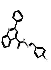 O=C(N/N=C/c1ccc(O)cc1)c1cc(-c2ccccc2)nc2ccccc12